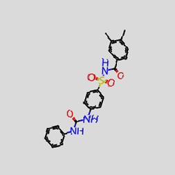 Cc1ccc(C(=O)NS(=O)(=O)c2ccc(NC(=O)Nc3ccccc3)cc2)cc1C